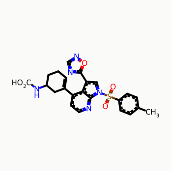 Cc1ccc(S(=O)(=O)n2cc(-c3ncno3)c3c(C4=CCCC(NC(=O)O)C4)ccnc32)cc1